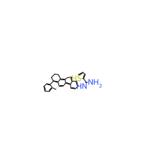 Cc1ccccc1C1=c2ccc3c(c2CCC1)CC=c1c([SH]2C=CC=C2C(=N)N)cccc1=3